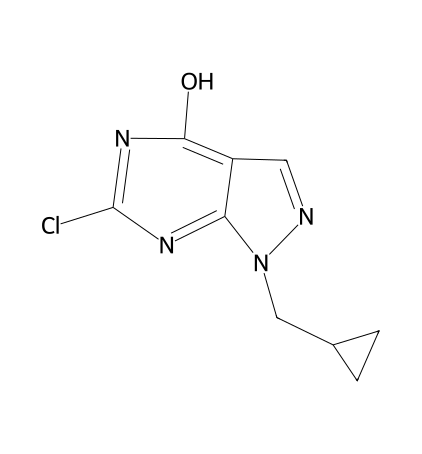 Oc1nc(Cl)nc2c1cnn2CC1CC1